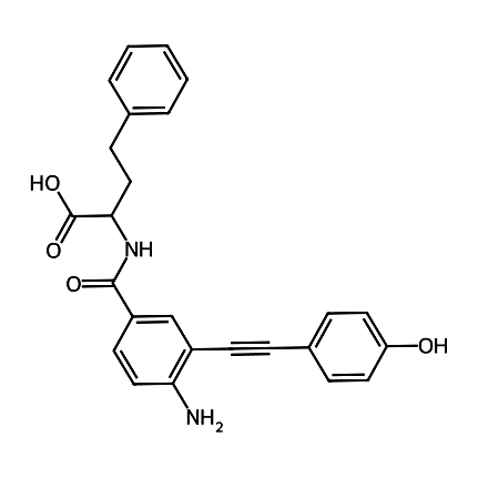 Nc1ccc(C(=O)NC(CCc2ccccc2)C(=O)O)cc1C#Cc1ccc(O)cc1